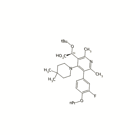 CCCOc1ccc(-c2c(C)nc(C)c([C@H](OC(C)(C)C)C(=O)O)c2N2CCC(C)(C)CC2)cc1F